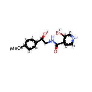 COc1ccc(C(=O)CNC(=O)c2ccncc2Br)cc1